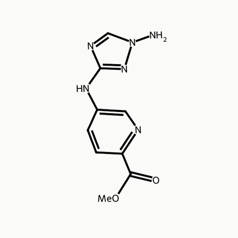 COC(=O)c1ccc(Nc2ncn(N)n2)cn1